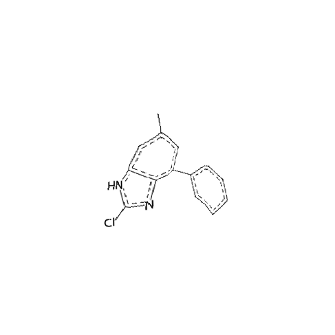 Cc1cc(-c2ccccc2)c2nc(Cl)[nH]c2c1